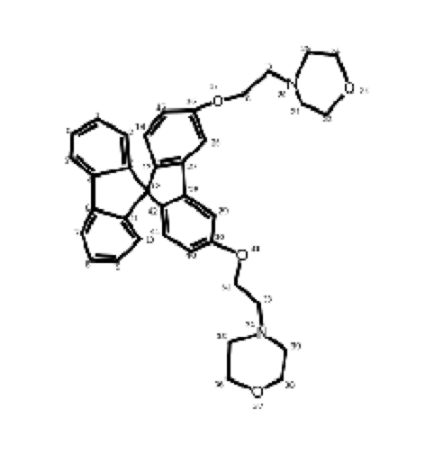 c1ccc2c(c1)-c1ccccc1C21c2ccc(OCCN3CCOCC3)cc2-c2cc(OCCN3CCOCC3)ccc21